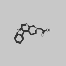 O=C(O)CN1CCC2=C3C(=Nc4ccccc43)C=NC2C1